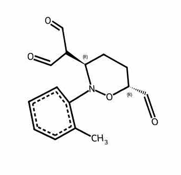 Cc1ccccc1N1O[C@@H](C=O)CC[C@@H]1C(C=O)C=O